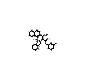 Cc1cccc(NC(=O)C2=C(O)c3ccc4ccccc4c3S(=O)(=O)N2Cc2ccccc2)c1